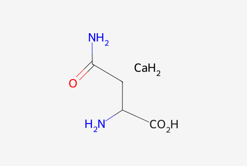 NC(=O)CC(N)C(=O)O.[CaH2]